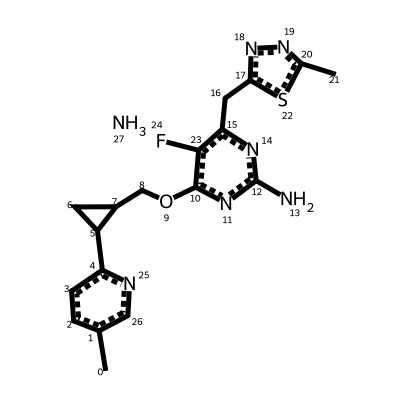 Cc1ccc(C2CC2COc2nc(N)nc(Cc3nnc(C)s3)c2F)nc1.N